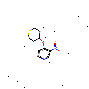 O=[N+]([O-])c1cnccc1OC1CCSCC1